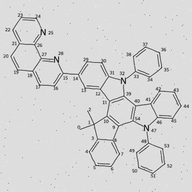 CC1(C)c2ccccc2-c2c1c1c3cc(-c4ccc5ccc6cccnc6c5n4)ccc3n(-c3ccccc3)c1c1c3ccccc3n(-c3ccccc3)c21